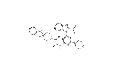 C[C@H](Nc1nc(N2CCOCC2)cc(-n2c(C(F)F)nc3ccccc32)n1)C(=O)N1CCC(O)(Cc2ccccc2)CC1